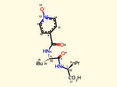 CCC[C@H](NC(=O)[C@@H](NC(=O)c1cc[n+]([O-])cc1)[C@@H](C)CC)C(=O)O